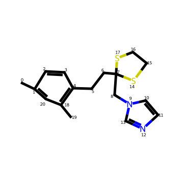 Cc1ccc(CCC2(Cn3ccnc3)SCCS2)c(C)c1